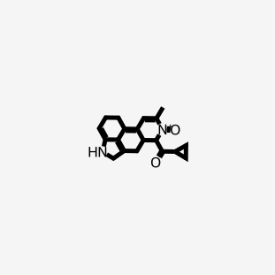 CC1=CC2=C3CCC=C4NCC(=C43)CC2C(C(=O)C2CC2)[N+]1=O